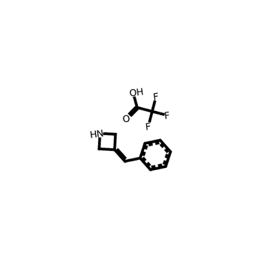 C(=C1CNC1)c1ccccc1.O=C(O)C(F)(F)F